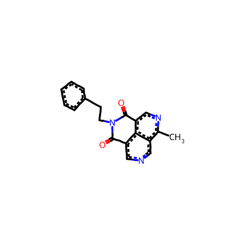 Cc1ncc2c3c(cncc13)C(=O)N(CCc1ccccc1)C2=O